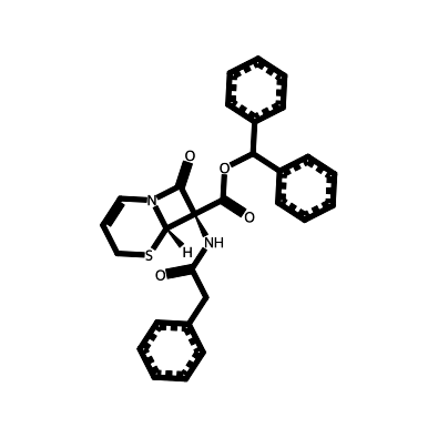 O=C(Cc1ccccc1)N[C@]1(C(=O)OC(c2ccccc2)c2ccccc2)C(=O)N2C=CCS[C@H]21